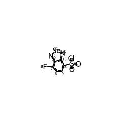 O=S(=O)(Cl)c1ccc(F)c2n[se]nc12